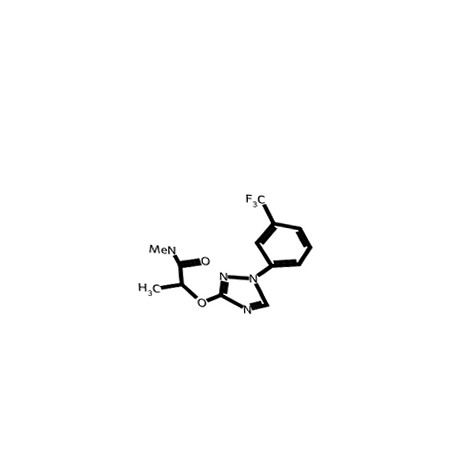 CNC(=O)C(C)Oc1ncn(-c2cccc(C(F)(F)F)c2)n1